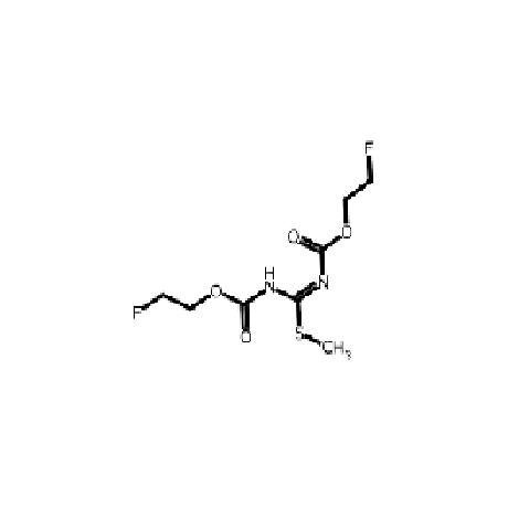 CSC(=NC(=O)OCCF)NC(=O)OCCF